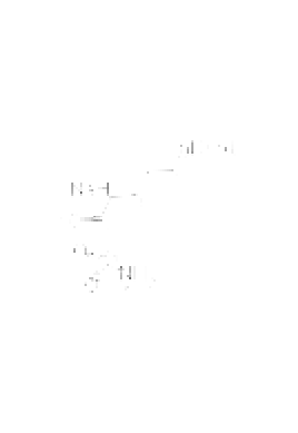 CCCCCCCCCCCC(=O)OS(N)(=O)=O.[NaH]